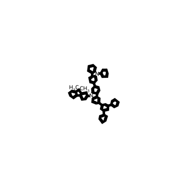 CC1(C)c2ccccc2-c2ccc(-n3c4ccc(-c5cc(-c6ccccc6)cc(-c6ccccc6)c5)cc4c4ccc(-c5ccc6c7ccccc7n(-c7ccccc7)c6c5)cc43)cc21